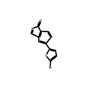 O=C1N=Cc2cc(-c3ccc(Br)s3)ccc21